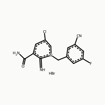 Br.N#Cc1cc(F)cc(Cn2cc(Cl)cc(C(N)=O)c2=N)c1